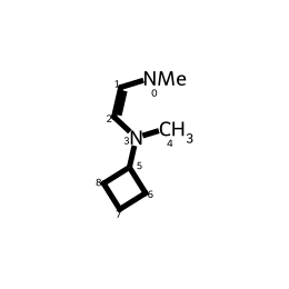 CN/C=C\N(C)C1CCC1